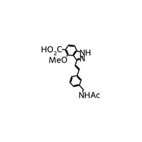 COc1c(C(=O)O)ccc2[nH]nc(C=Cc3cccc(CNC(C)=O)c3)c12